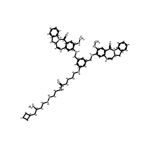 COc1cc2c(cc1OCc1cc(COc3cc4c(cc3OC)C(=O)N3c5ccccc5CC3C=N4)cc(OCCCCC(=O)NCCSSCCC(N)CC3CCC3)c1)N=CC1Cc3ccccc3N1C2=O